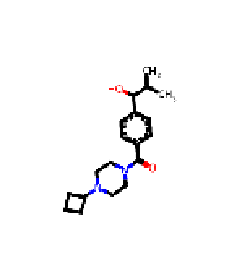 CC(C)C(O)c1ccc(C(=O)N2CCN(C3CCC3)CC2)cc1